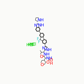 CC(C)[C@H](NC(=O)[C@@H](NC(=O)O)C1CCOCC1)c1nc(-c2ccc3c(c2)C(F)(F)c2cc(-c4ccc5nc([C@@H]6CCCN6)[nH]c5c4)ccc2-3)c[nH]1.Cl.Cl.Cl